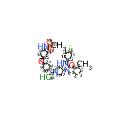 Cc1cccc(CN(C(=O)Nc2ccc(F)cc2)C2CCN(Cc3ccc(Oc4ccc(NS(C)(=O)=O)cc4)cc3)CC2)c1.Cl